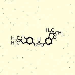 CC1(C)Cc2cc(OBOc3ccc4c(c3)CC(C)(C)O4)ccc2O1